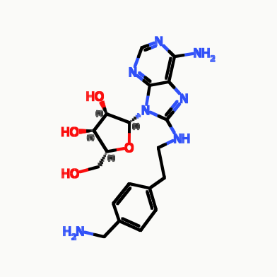 NCc1ccc(CCNc2nc3c(N)ncnc3n2[C@@H]2O[C@H](CO)[C@@H](O)[C@H]2O)cc1